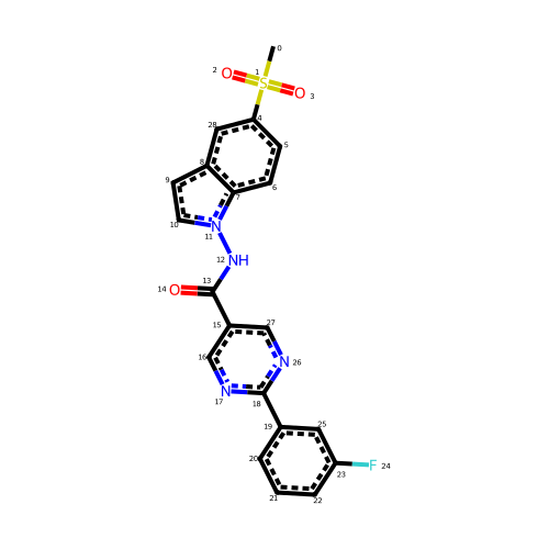 CS(=O)(=O)c1ccc2c(ccn2NC(=O)c2cnc(-c3cccc(F)c3)nc2)c1